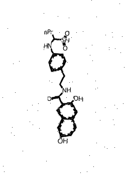 CCCC(Nc1ccc(CCNC(=O)c2cc3cc(O)ccc3cc2O)cc1)[SH](=O)=O